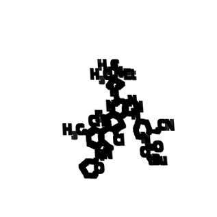 CCN(C)C1(C)CN(c2nc3c(F)c(-c4c(C)c(C)cc5c4cnn5C4CCCCO4)c(Cl)cc3c3c2nnn3[C@H]2CCN(C(=O)OC(C)(C)C)[C@H](CC#N)C2)C1